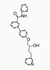 O=C(Nc1ccccc1)c1cccc(-c2ccc(OCC(O)CCc3cccnc3)cc2)c1